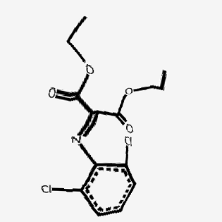 CCOC(=O)C(=Nc1c(Cl)cccc1Cl)C(=O)OCC